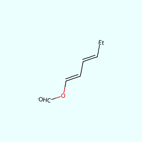 CCC=CC=CO[C]=O